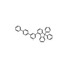 [c]1cc(-c2ccc(-c3ccccc3)cc2)cc(-c2cccc3c2-c2ccccc2C3(c2ccccc2)c2ccccc2)c1